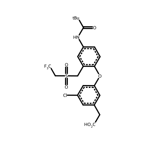 CC(C)(C)C(=O)Nc1ccc(Oc2cc(Cl)cc(CC(=O)O)c2)c(CS(=O)(=O)CC(F)(F)F)c1